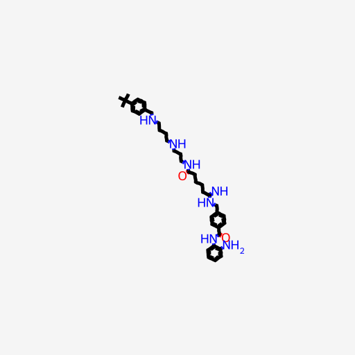 CC(C)(C)c1ccc(CNCCCCNCCCNC(=O)CCCCC(=N)NCc2ccc(C(=O)Nc3ccccc3N)cc2)cc1